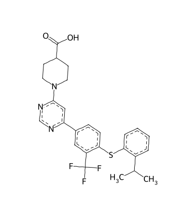 CC(C)c1ccccc1Sc1ccc(-c2cc(N3CCC(C(=O)O)CC3)ncn2)cc1C(F)(F)F